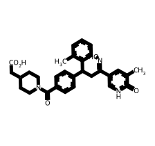 Cc1ccccc1C(C/C(=N\O)c1c[nH]c(=O)c(C)c1)c1ccc(C(=O)N2CCC(CC(=O)O)CC2)cc1